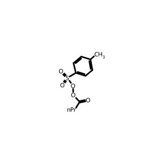 CCCC(=O)OOS(=O)(=O)c1ccc(C)cc1